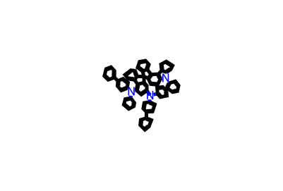 c1ccc(-c2ccc(N(c3ccccc3)c3cc(N(c4ccccc4)c4ccc(-c5ccccc5)cc4)c4c(c3)C3(c5ccccc5-4)c4ccccc4-c4c3ccc3c4c4ccccc4n3-c3ccccc3)cc2)cc1